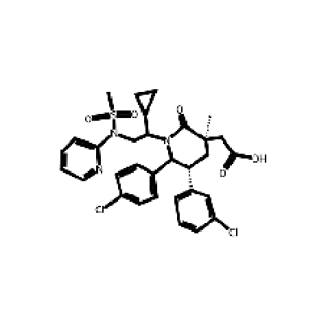 C[C@]1(CC(=O)O)C[C@H](c2cccc(Cl)c2)C(c2ccc(Cl)cc2)N(C(CN(c2ccccn2)S(C)(=O)=O)C2CC2)C1=O